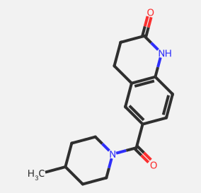 CC1CCN(C(=O)c2ccc3c(c2)CCC(=O)N3)CC1